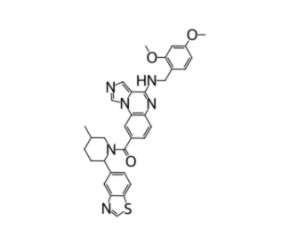 COc1ccc(CNc2nc3ccc(C(=O)N4CC(C)CCC4c4ccc5scnc5c4)cc3n3cncc23)c(OC)c1